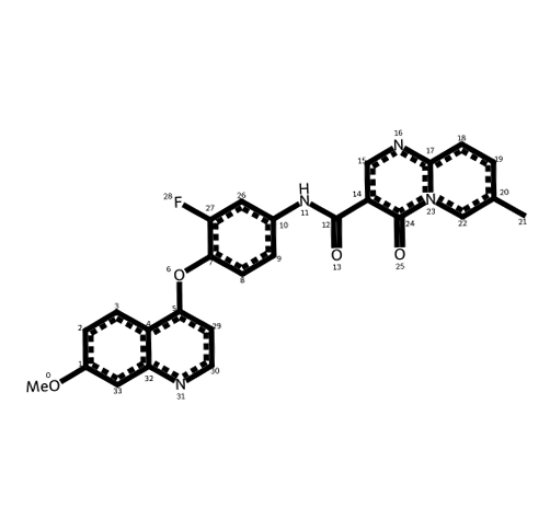 COc1ccc2c(Oc3ccc(NC(=O)c4cnc5ccc(C)cn5c4=O)cc3F)ccnc2c1